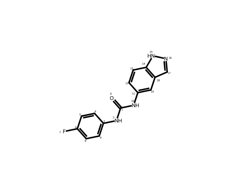 O=C(Nc1ccc(F)cc1)Nc1ccc2[nH]ncc2c1